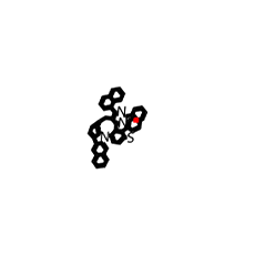 c1ccc(-c2nc(-c3cccc4ccccc34)c3c(n2)-c2c(ccc4sc5ccccc5c24)-n2c4cc(ccc4c4cc5ccccc5cc42)C3)cc1